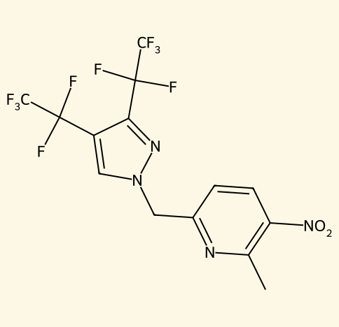 Cc1nc(Cn2cc(C(F)(F)C(F)(F)F)c(C(F)(F)C(F)(F)F)n2)ccc1[N+](=O)[O-]